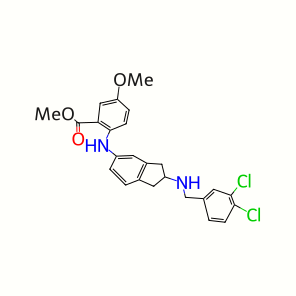 COC(=O)c1cc(OC)ccc1Nc1ccc2c(c1)CC(NCc1ccc(Cl)c(Cl)c1)C2